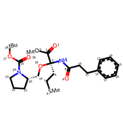 COC(=O)[C@@](CCSC)(NC(=O)CCc1ccccc1)OC[C@@H]1CCCN1C(=O)OC(C)(C)C